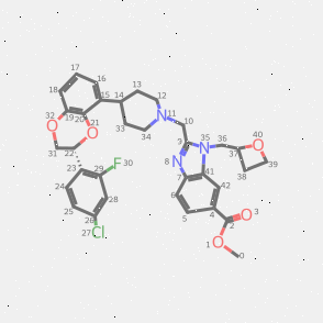 COC(=O)c1ccc2nc(CN3CCC(c4cccc5c4O[C@H](c4ccc(Cl)cc4F)CO5)CC3)n(CC3CCO3)c2c1